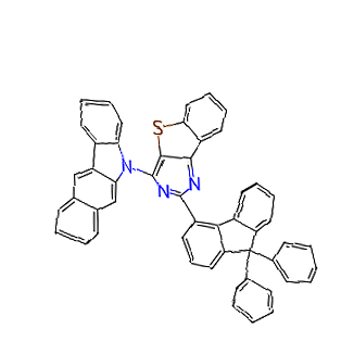 c1ccc(C2(c3ccccc3)c3ccccc3-c3c(-c4nc(-n5c6ccccc6c6cc7ccccc7cc65)c5sc6ccccc6c5n4)cccc32)cc1